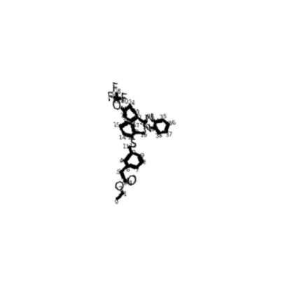 CCOC(=O)Cc1cccc(CSc2ccccc2Cn2c(-c3ccc(OC(F)(F)F)cc3)nc3ccccc32)c1